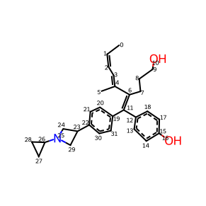 C\C=C/C=C(C)/C(CCCO)=C(/c1ccc(O)cc1)c1ccc(C2CN(C3CC3)C2)cc1